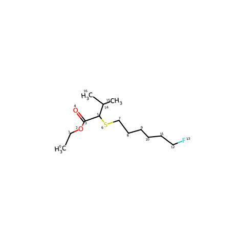 CCOC(=O)C(SCCCCCCF)C(C)C